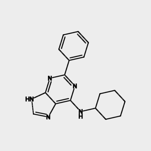 c1ccc(-c2nc(NC3CCCCC3)c3nc[nH]c3n2)cc1